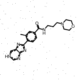 Cc1cc(C(=O)NCCCN2CCOCC2)ccc1-c1nc2c[nH]cnc-2n1